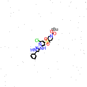 CC(C)(C)OC(=O)N1CCC(C)(S(=O)(=O)c2cc(Cl)nc(Nc3cc(-c4ccccc4)[nH]n3)c2)CC1